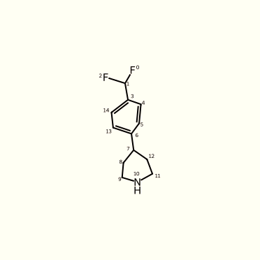 FC(F)c1ccc(C2CCNCC2)cc1